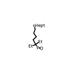 CCCCCCCCCCCC(CC)(CC)P=O